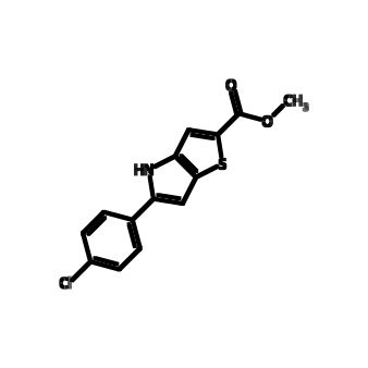 COC(=O)c1cc2[nH]c(-c3ccc(Cl)cc3)cc2s1